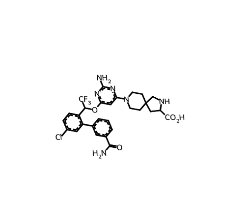 NC(=O)c1cccc(-c2cc(Cl)ccc2C(Oc2cc(N3CCC4(CC3)CNC(C(=O)O)C4)nc(N)n2)C(F)(F)F)c1